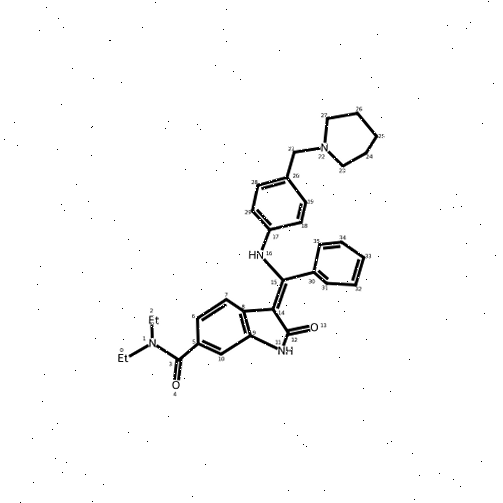 CCN(CC)C(=O)c1ccc2c(c1)NC(=O)C2=C(Nc1ccc(CN2CCCCC2)cc1)c1ccccc1